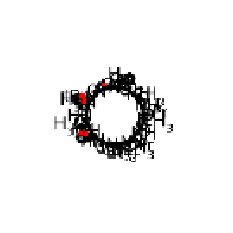 CCC(CC)[C@H]1C(=O)N(C)[C@@H](C)C(=O)N[C@@H](Cc2ccccc2)C(=O)N[C@@H]([C@@H](C)O)C(=O)N[C@@H](Cc2ccccc2)C(=O)N(C)[C@@H](CC(C)(C)C)C(=O)N2CCC[C@H]2C(=O)N[C@H](C(=O)N2CCCCC2)CC(=O)N[C@@H](C)C(=O)N[C@@H](CC(C)C)C(=O)N(C)CC(=O)N[C@@H](CC(C)C)C(=O)N1C